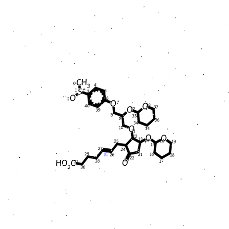 C[S+]([O-])c1ccc(OCC(COC2C(OC3CCCCO3)CC(=O)C2C/C=C/CCCC(=O)O)OC2CCCCO2)cc1